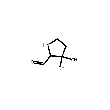 CC1(C)CCNC1C=O